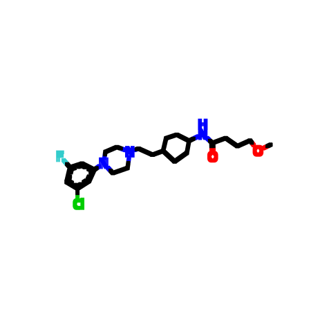 COCCCC(=O)NC1CCC(CCN2CCN(c3cc(F)cc(Cl)c3)CC2)CC1